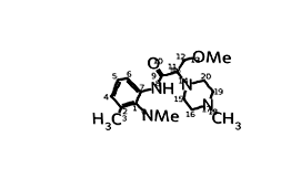 CNc1c(C)cccc1NC(=O)[C@@H](COC)N1CCN(C)CC1